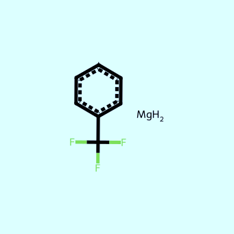 FC(F)(F)c1cc[c]cc1.[MgH2]